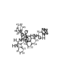 C[C@@](N)(Cc1c[nH]c2ccccc12)C(=O)N(CC1c2ccccc2CCC1NC(=O)Cc1nnn[nH]1)C(=O)OC1C2CC3CC(C2)CC1C3